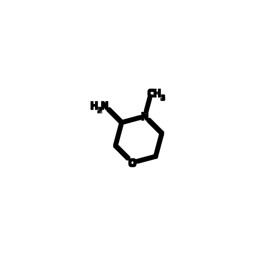 CN1CCOCC1N